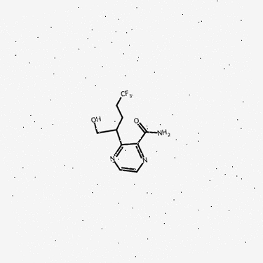 NC(=O)c1nccnc1C(CO)CCC(F)(F)F